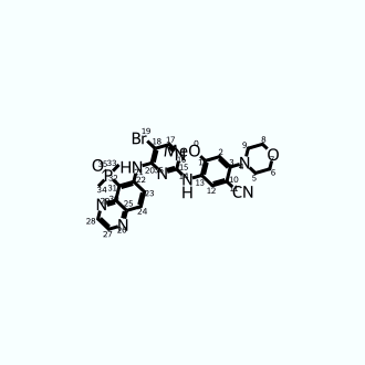 COc1cc(N2CCOCC2)c(C#N)cc1Nc1ncc(Br)c(Nc2ccc3nccnc3c2P(C)(C)=O)n1